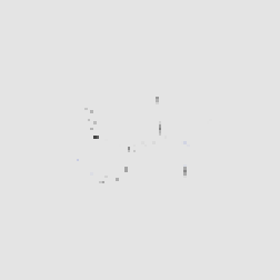 C=c1[nH]cc/c1=C(/C)N(C)C